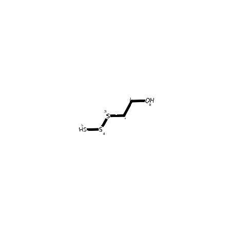 OCCSSS